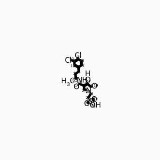 CC(CCc1ccc(Cl)c(Cl)c1)NC(=O)C1=C(O)C(=O)N(CCS(=O)(=O)O)C1